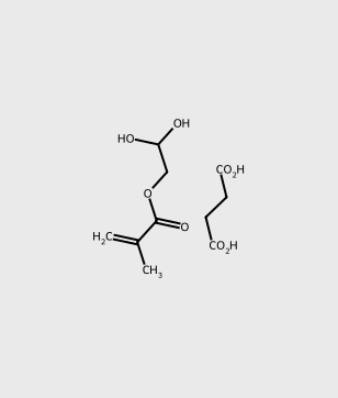 C=C(C)C(=O)OCC(O)O.O=C(O)CCC(=O)O